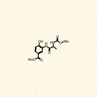 COC(=O)c1ccc(O)c(NC(=O)C(C)NC(=O)OC(C)(C)C)c1